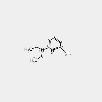 CCN(CC)c1cccc(N)n1